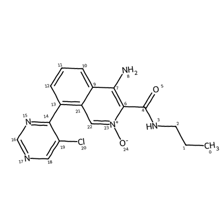 CCCNC(=O)c1c(N)c2cccc(-c3ncncc3Cl)c2c[n+]1[O-]